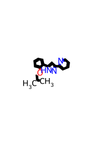 CC(C)COc1ccccc1-c1cc(-c2ccccn2)n[nH]1